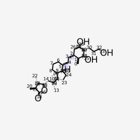 C=C1/C(=C\C=C2/CCC[C@]3(C)[C@@H]([C@H](C)C[C@@H]4OC(=O)C(=C)[C@@H]4C)CC[C@@H]23)C[C@@H](O)[C@H](CCCO)[C@@H]1O